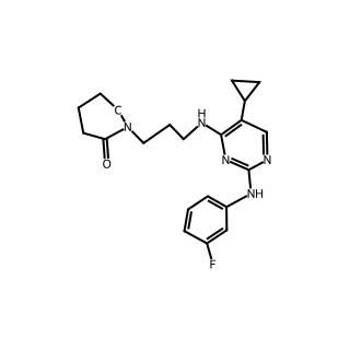 O=C1CCCCN1CCCNc1nc(Nc2cccc(F)c2)ncc1C1CC1